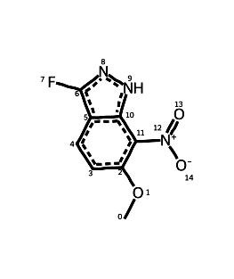 COc1ccc2c(F)n[nH]c2c1[N+](=O)[O-]